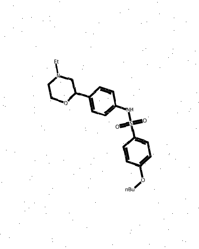 CCCCOc1ccc(S(=O)(=O)Nc2ccc(C3CN(CC)CCO3)cc2)cc1